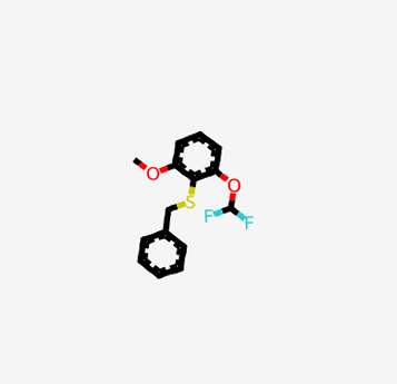 COc1cccc(OC(F)F)c1SCc1ccccc1